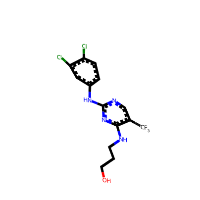 OCCCNc1nc(Nc2ccc(Cl)c(Cl)c2)ncc1C(F)(F)F